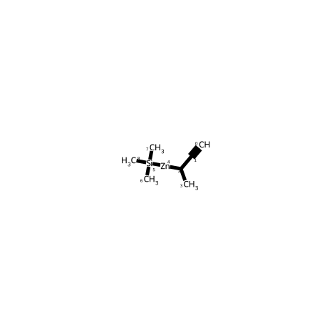 C#C[CH](C)[Zn][Si](C)(C)C